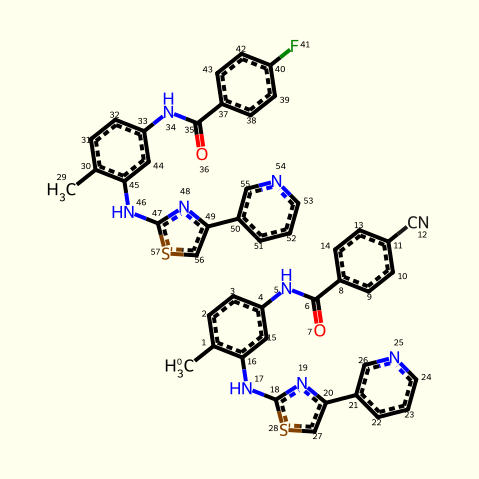 Cc1ccc(NC(=O)c2ccc(C#N)cc2)cc1Nc1nc(-c2cccnc2)cs1.Cc1ccc(NC(=O)c2ccc(F)cc2)cc1Nc1nc(-c2cccnc2)cs1